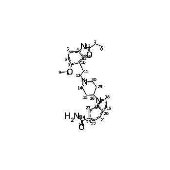 CCc1nc2ccc(OC)c(CCN3CCC(n4ccc5ccc(C(N)=O)cc54)CC3)c2o1